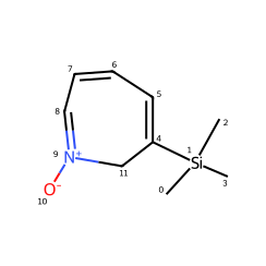 C[Si](C)(C)C1=CC=CC=[N+]([O-])C1